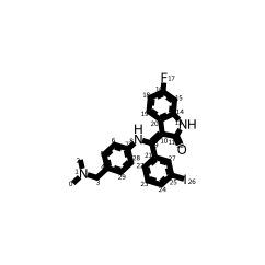 CN(C)Cc1ccc(NC(=C2C(=O)Nc3cc(F)ccc32)c2cccc(I)c2)cc1